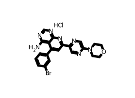 Cl.Nc1ncnc2nc(-c3cnc(N4CCOCC4)cn3)cc(-c3cccc(Br)c3)c12